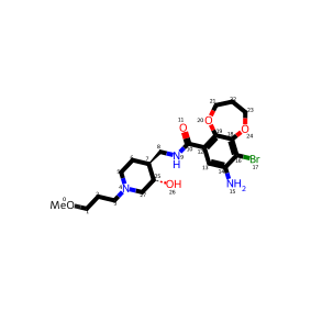 COCCCN1CC[C@@H](CNC(=O)c2cc(N)c(Br)c3c2OCCCO3)[C@H](O)C1